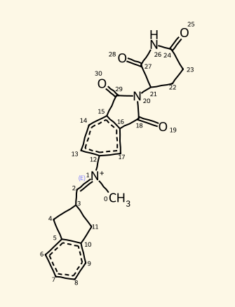 C/[N+](=C\C1Cc2ccccc2C1)c1ccc2c(c1)C(=O)N(C1CCC(=O)NC1=O)C2=O